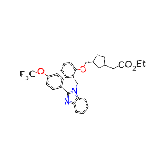 CCOC(=O)CC1CCC(COc2ccccc2Cn2c(-c3ccc(OC(F)(F)F)cc3)nc3ccccc32)C1